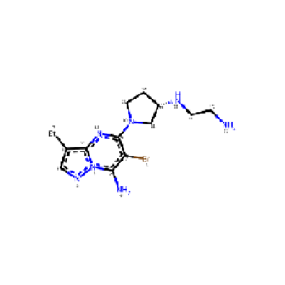 CCc1cnn2c(N)c(Br)c(N3CC[C@H](NCCN)C3)nc12